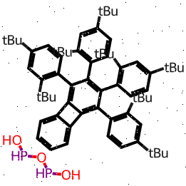 CC(C)(C)c1ccc(-c2c3c(c(-c4ccc(C(C)(C)C)cc4C(C)(C)C)c(-c4ccc(C(C)(C)C)cc4C(C)(C)C)c2-c2ccc(C(C)(C)C)cc2C(C)(C)C)-c2ccccc2-3)c(C(C)(C)C)c1.OPOPO